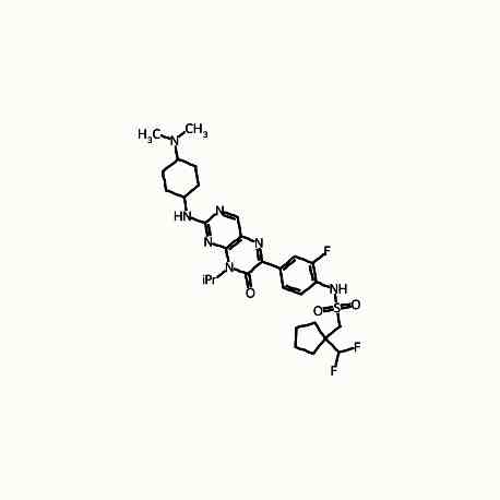 CC(C)n1c(=O)c(-c2ccc(NS(=O)(=O)CC3(C(F)F)CCCC3)c(F)c2)nc2cnc(NC3CCC(N(C)C)CC3)nc21